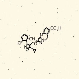 Cc1cccc(Cl)c1-c1noc(C2CC2)c1COc1cc2n(n1)CCc1cc(C(=O)O)ccc1O2